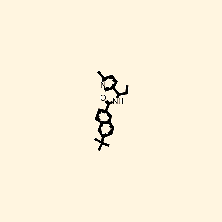 CCC(NC(=O)c1ccc2cc(C(C)(C)C)ccc2c1)c1ccc(C)nc1